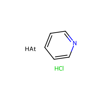 Cl.[AtH].c1ccncc1